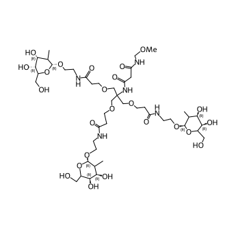 COCNC(=O)CC(=O)NC(COCCC(=O)NCCO[C@@H]1OC(CO)[C@H](O)[C@H](O)C1C)(COCCC(=O)NCCO[C@@H]1OC(CO)[C@H](O)[C@H](O)C1C)COCCC(=O)NCCO[C@@H]1OC(CO)[C@H](O)[C@H](O)C1C